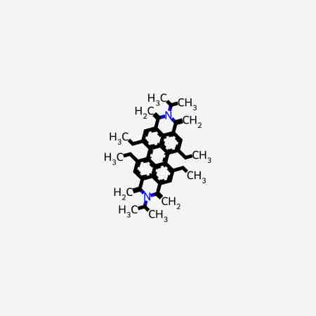 C=C1c2cc(CC)c3c4c(CC)cc5c6c(cc(CC)c(c7c(CC)cc(c2c37)C(=C)N1C(C)C)c64)C(=C)N(C(C)C)C5=C